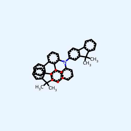 CC1(C)c2ccccc2-c2ccc(N(c3cccc(-c4ccccc4)c3-c3cccc4c3-c3ccccc3C4(C)C)c3cccc4ccccc34)cc21